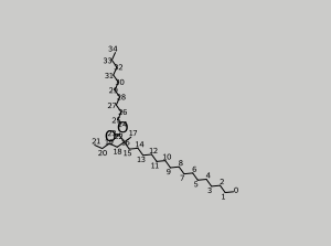 CCCCCCCCCCCCCCCCC(C)(CCCC)C(=O)OCCCCCCCCCC